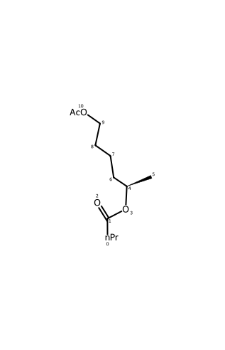 CCCC(=O)O[C@H](C)CCCCOC(C)=O